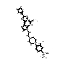 C[S@+]([O-])c1ccc(N2CCN(CCn3cnc4c3nc(N)n3nc(-c5ccco5)nc43)CC2)c(F)c1